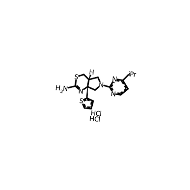 CC(C)c1ccnc(N2C[C@H]3CSC(N)=N[C@@]3(c3cccs3)C2)n1.Cl.Cl